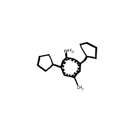 Cc1cc(C2CCCC2)c(N)c(C2CCCC2)c1